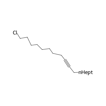 CCCCCCCCC#CCCCCCCCCCl